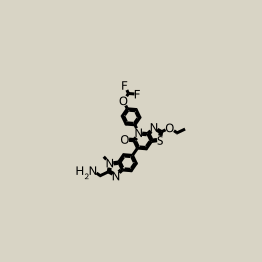 CCOc1nc2c(cc(-c3ccc4nc(CN)n(C)c4c3)c(=O)n2-c2ccc(OC(F)F)cc2)s1